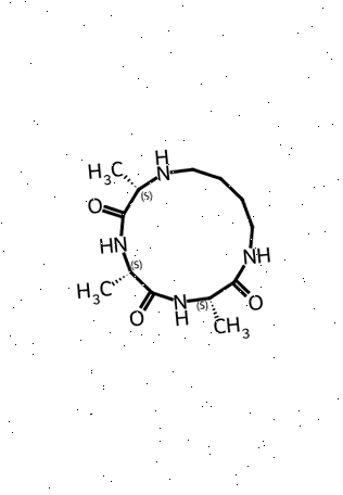 C[C@@H]1NCCCCNC(=O)[C@H](C)NC(=O)[C@H](C)NC1=O